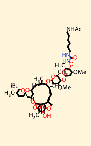 CC[C@H](C)[C@H]1O[C@]2(C=C[C@@H]1C)C[C@@H]1C[C@@H](C/C=C(\C)[C@@H](O[C@H]3C[C@H](OC)[C@@H](O[C@H]4C[C@H](OC)[C@H](ONC(=O)NCCCCCCNC(C)=O)[C@H](C)O4)[C@H](C)O3)[C@@H](C)/C=C/C=C3\CO[C@@H]4[C@H](O)C(C)=C[C@@H](C(=O)O1)[C@]34O)O2